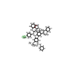 CCCC(Cc1ccccc1)c1cc2c(cc1C)Cc1c-2cc(C(CCC)Cc2ccccc2)c(C)[c]1[Zr+2]([C]1=CC=CC1)=[C](Cc1ccccc1)Cc1ccccc1.[Cl-].[Cl-]